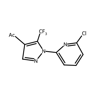 CC(=O)c1cnn(-c2cccc(Cl)n2)c1C(F)(F)F